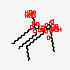 CCCCCC/C=C\CCCCCCCCCC(=O)O[C@H]1[C@H](OC[C@H]2O[C@H](OCCOP(=O)(O)O)[C@H](OCCCCCCCCCCCC)[C@@H](OCCCCCCCCCCCC)[C@@H]2O)O[C@H](COC)[C@@H](OP(=O)(O)O)[C@@H]1OCC[C@@H](CCCCCCC)OC